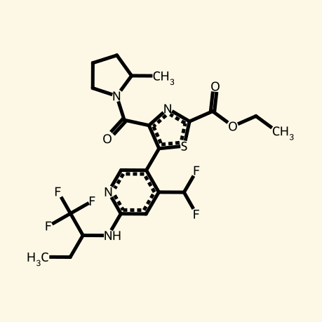 CCOC(=O)c1nc(C(=O)N2CCCC2C)c(-c2cnc(NC(CC)C(F)(F)F)cc2C(F)F)s1